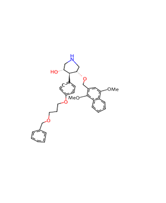 COc1cc(CO[C@H]2CNC[C@@H](O)[C@@H]2c2ccc(OCCCOCc3ccccc3)cc2)c(OC)c2ccccc12